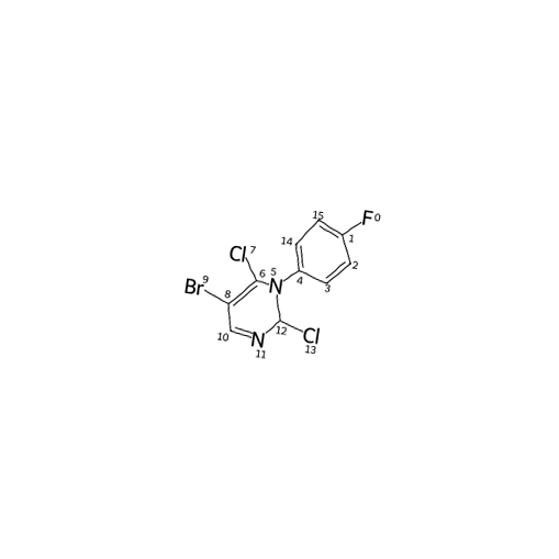 Fc1ccc(N2C(Cl)=C(Br)C=NC2Cl)cc1